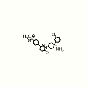 CS(=O)(=O)c1ccc(-c2ccc(=O)n([C@H]3CC[C@](CN)(c4cccc(Cl)c4)CC3)n2)cc1